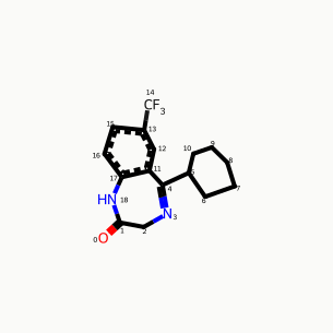 O=C1CN=C(C2CCCCC2)c2cc(C(F)(F)F)ccc2N1